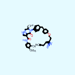 C#CCCC1(CCOc2ccc(Cc3ccc(N4C(=O)c5c(C(=O)Nc6ccc(OC)c(C#N)c6)cnn5CC4C)cc3)cc2)N=N1